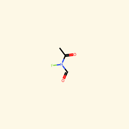 CC(=O)N(F)[C]=O